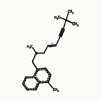 Cc1ccc(CN(C)C/C=C/C#CC(C)(C)C)c2ccccc12